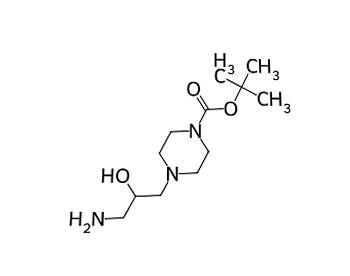 CC(C)(C)OC(=O)N1CCN(CC(O)CN)CC1